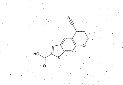 N#CC1CCOc2cc3sc(C(=O)O)cc3cc21